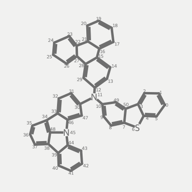 c1ccc2c(c1)sc1ccc(N(c3ccc4c5ccccc5c5ccccc5c4c3)c3ccc4c5cccc6c7ccccc7n(c4c3)c65)cc12